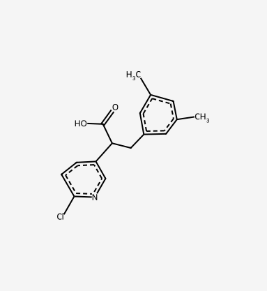 Cc1cc(C)cc(CC(C(=O)O)c2ccc(Cl)nc2)c1